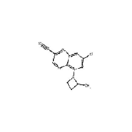 C[C@H]1CCN1c1nc(Cl)cc2nc(C#N)cnc12